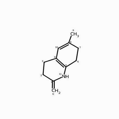 C=C1CCC2=C(CCC(C)=C2)N1